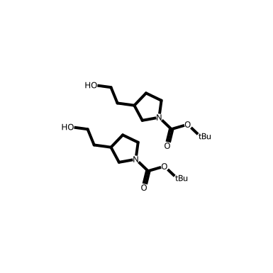 CC(C)(C)OC(=O)N1CCC(CCO)C1.CC(C)(C)OC(=O)N1CCC(CCO)C1